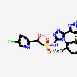 COc1cccc(OC)c1-n1c(NS(=O)(=O)CC(O)c2ccc(Cl)cn2)nnc1-c1ccn(C)n1